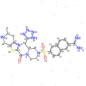 CC1Cc2nc(C(=O)N3CCN(S(=O)(=O)c4ccc5cc(C(=N)N)ccc5c4)CC3Cc3nnn[nH]3)sc2CN1